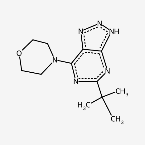 CC(C)(C)c1nc(N2CCOCC2)c2nn[nH]c2n1